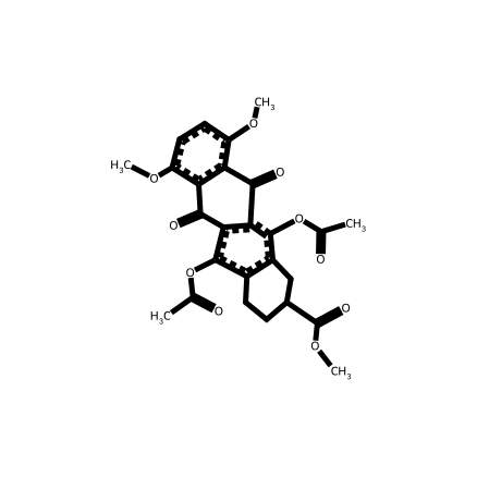 COC(=O)C1CCc2c(c(OC(C)=O)c3c(c2OC(C)=O)C(=O)c2c(OC)ccc(OC)c2C3=O)C1